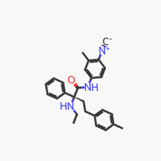 [C-]#[N+]c1ccc(NC(=O)[C@](CCc2ccc(C)cc2)(NCC)c2ccccc2)cc1C